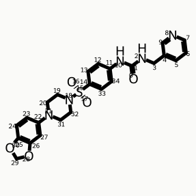 O=C(NCc1cccnc1)Nc1ccc(S(=O)(=O)N2CCN(c3ccc4c(c3)OCO4)CC2)cc1